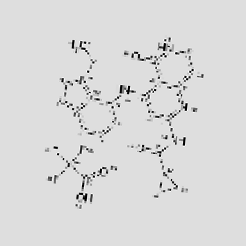 CCn1ccc2cccc(Nc3cc(NC(=O)C4CC4)nc4cc[nH]c(=O)c34)c21.O=C(O)C(F)(F)F